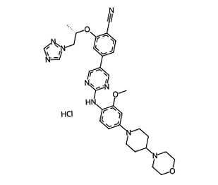 COc1cc(N2CCC(N3CCOCC3)CC2)ccc1Nc1ncc(-c2ccc(C#N)c(O[C@@H](C)Cn3cncn3)c2)cn1.Cl